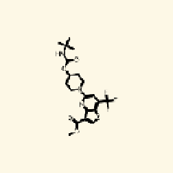 COC(=O)c1csc2c(C(F)(F)F)cc(N3CCC(OC(=O)NC(C)(C)C)CC3)nc12